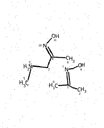 CC(C)=NO.C[SiH2]CC(C)=NO